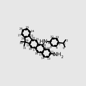 CC(C)c1ccc(Nc2c3cc(N)ccc3cc3cc4c(cc23)-c2ccccc2C4(C)C)cc1